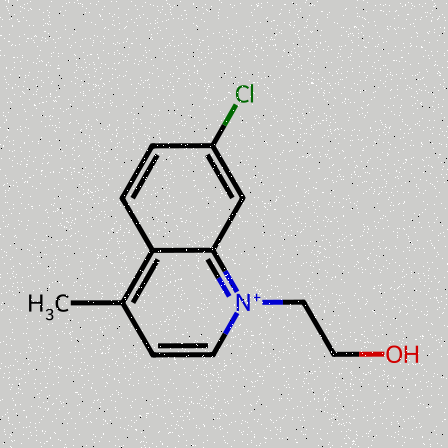 Cc1cc[n+](CCO)c2cc(Cl)ccc12